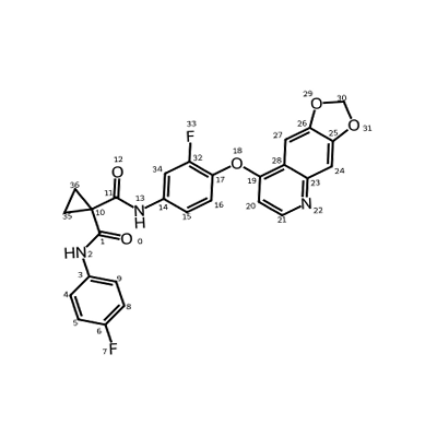 O=C(Nc1ccc(F)cc1)C1(C(=O)Nc2ccc(Oc3ccnc4cc5c(cc34)OCO5)c(F)c2)CC1